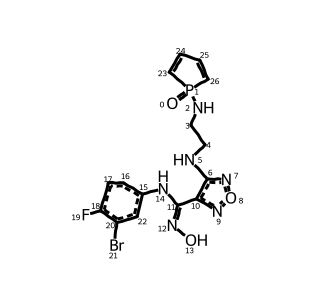 O=P1(NCCNc2nonc2C(=NO)Nc2ccc(F)c(Br)c2)C=CC=C1